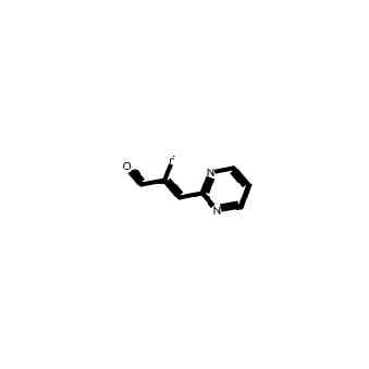 O=CC(F)=Cc1ncccn1